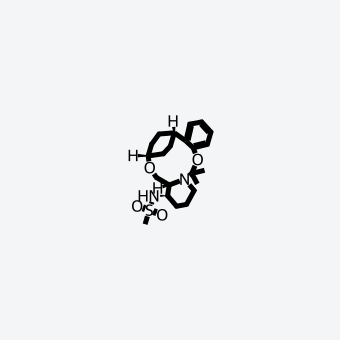 CC1(C)Oc2ccccc2[C@H]2CC[C@H](CC2)OC[C@H]2[C@@H](NS(C)(=O)=O)CCCN21